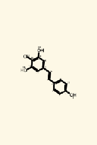 Oc1ccc(C=Cc2cc(O)c(Cl)c(O)c2)cc1